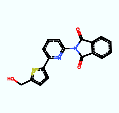 O=C1c2ccccc2C(=O)N1c1cccc(-c2ccc(CO)s2)n1